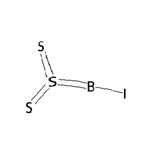 S=S(=S)=BI